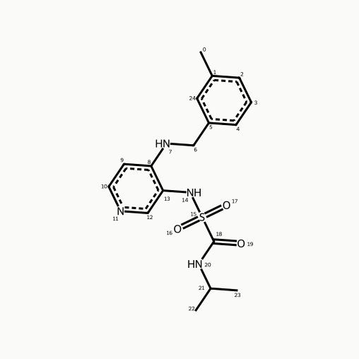 Cc1cccc(CNc2ccncc2NS(=O)(=O)C(=O)NC(C)C)c1